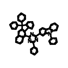 c1ccc(-c2nc(-c3ccc4c5ccccc5n(-c5ccccc5)c4c3)nc(-c3c4c(cc5ccccc35)C(c3ccccc3)(c3ccccc3)c3ccccc3-4)n2)cc1